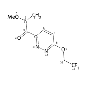 CON(C)C(=O)c1ccc(OCC(F)(F)F)nn1